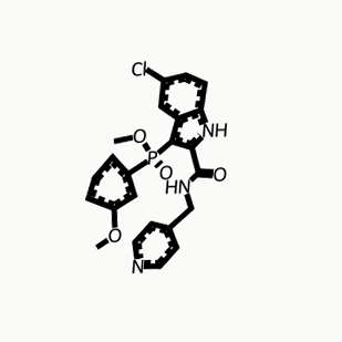 COc1cccc(P(=O)(OC)c2c(C(=O)NCc3ccncc3)[nH]c3ccc(Cl)cc23)c1